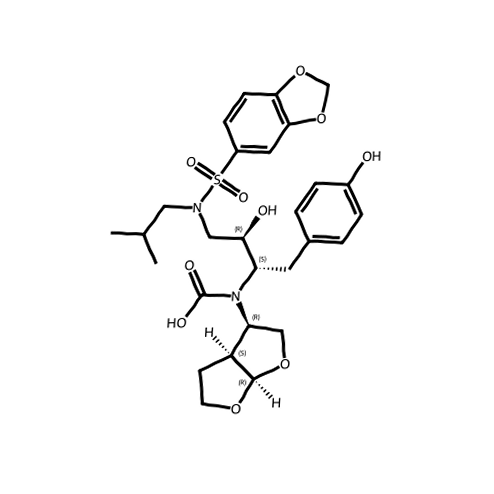 CC(C)CN(C[C@@H](O)[C@H](Cc1ccc(O)cc1)N(C(=O)O)[C@H]1CO[C@H]2OCC[C@H]21)S(=O)(=O)c1ccc2c(c1)OCO2